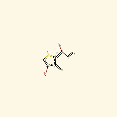 C=C/C(Br)=c1/scc(Br)c1=C